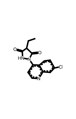 CCC1C(=O)NN(c2ccnc3cc(Cl)ccc23)C1=O